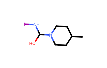 CC1CCN(C(O)NI)CC1